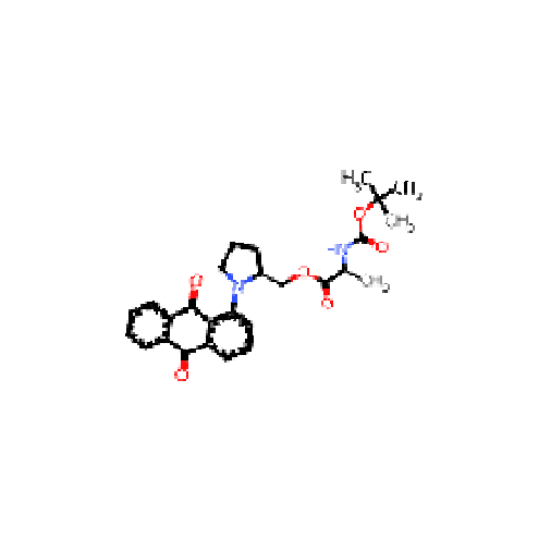 C[C@H](NC(=O)OC(C)(C)C)C(=O)OC[C@@H]1CCCN1c1cccc2c1C(=O)c1ccccc1C2=O